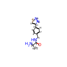 CC(C)[C@@H](N)C(=O)NCc1ccc(-c2csnn2)cc1